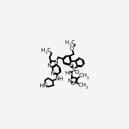 CCCc1nc2nc(NC3CCNCC3)ccc2n1Cc1ccc(-c2ccccc2S(=O)(=O)Nc2noc(C)c2C)c(COCC)c1